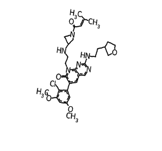 COc1cc(OC)c(Cl)c(-c2cc3cnc(NCCC4CCOC4)nc3n(CCNC3CN(C(=O)C=C(C)C)C3)c2=O)c1